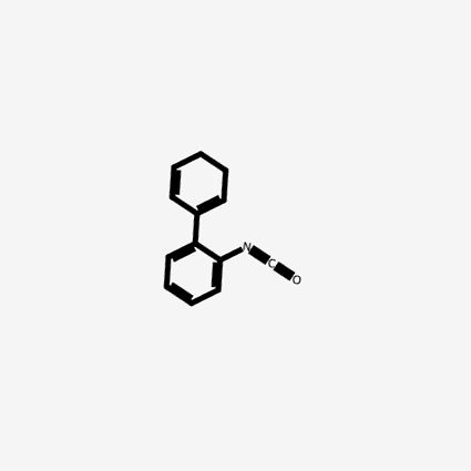 O=C=Nc1ccccc1C1=CCCC=C1